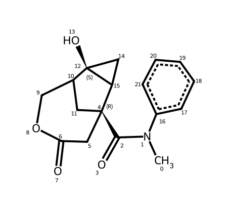 CN(C(=O)[C@@]12CC(=O)OCC(C1)[C@]1(O)CC21)c1ccccc1